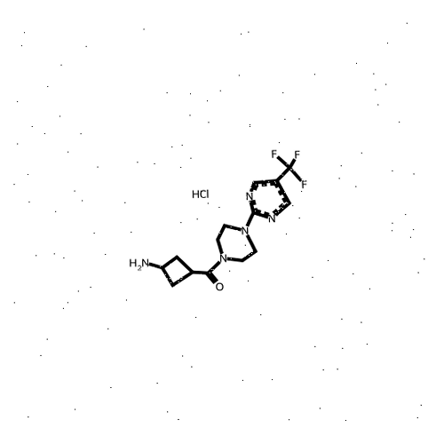 Cl.NC1CC(C(=O)N2CCN(c3ncc(C(F)(F)F)cn3)CC2)C1